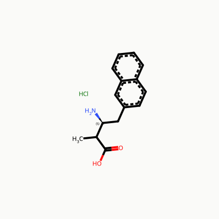 CC(C(=O)O)[C@@H](N)Cc1ccc2ccccc2c1.Cl